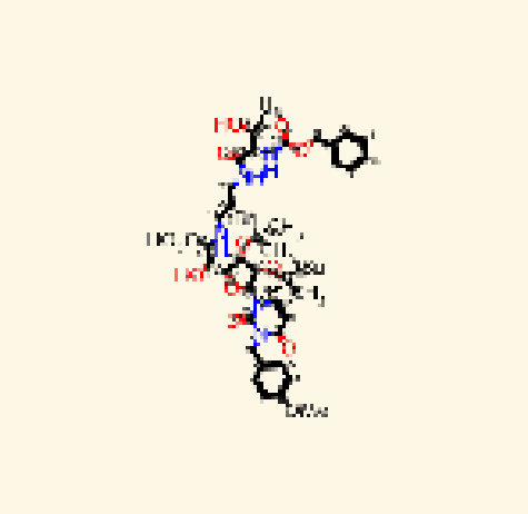 COc1ccc(Cn2c(=O)ccn([C@@H]3O[C@H](C(O)[C@H](NCCCNC(=O)[C@@H](NC(=O)OCc4ccccc4)C(C)O)C(=O)O)[C@@H](O[Si](C)(C)C(C)(C)C)[C@H]3O[Si](C)(C)C(C)(C)C)c2=O)cc1